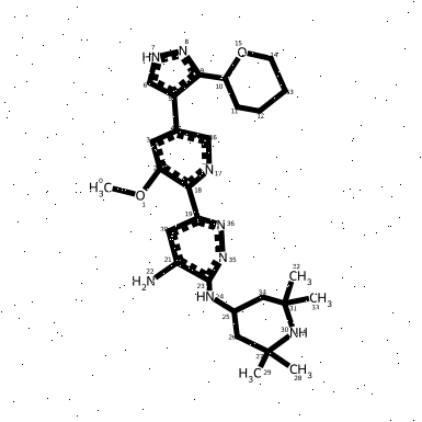 COc1cc(-c2c[nH]nc2C2CCCCO2)cnc1-c1cc(N)c(NC2CC(C)(C)NC(C)(C)C2)nn1